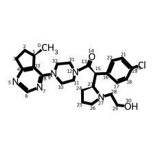 C[C@@H]1CCc2ncnc(N3CCN(C(=O)[C@@H](c4ccc(Cl)cc4)[C@@H]4CCCN4CCO)CC3)c21